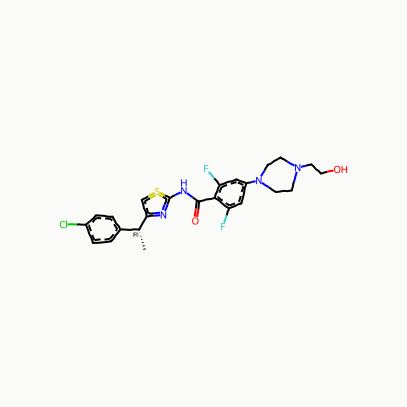 C[C@H](c1ccc(Cl)cc1)c1csc(NC(=O)c2c(F)cc(N3CCN(CCO)CC3)cc2F)n1